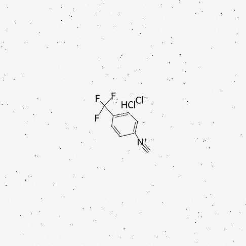 C#[N+]c1ccc(C(F)(F)F)cc1.Cl.[Cl-]